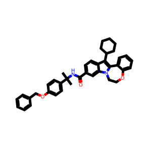 CC(C)(NC(=O)c1ccc2c(C3CCCCC3)c3n(c2c1)CCOc1ccccc1-3)c1ccc(OCc2ccccc2)cc1